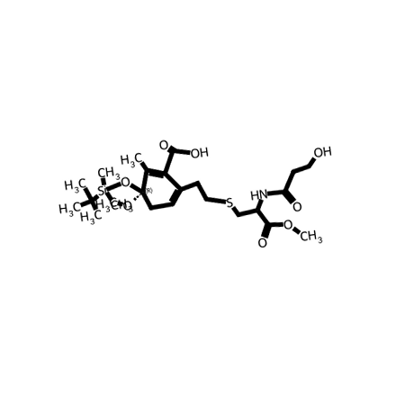 COC(=O)C(CSCCC1=CC[C@@](OC)(O[Si](C)(C)C(C)(C)C)C(C)=C1C(=O)O)NC(=O)CCO